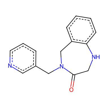 O=C1CNc2ccccc2CN1Cc1cccnc1